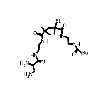 CCC(C)C(=O)NCCNC(=O)C(C)(CC)CC(C)(C)C(=O)NCCNC(=O)C(N)CN